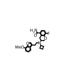 COc1cccc2c(CCN(C3CCC3)C3COc4c(F)ccc(C(N)=O)c4C3)coc12